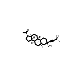 CC(=O)[C@H]1CC[C@H]2[C@@H]3CC[C@@H]4C[C@@](O)(C#C[C@@H](C)O)CC[C@]4(C)[C@H]3CC[C@]12C